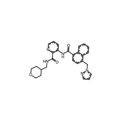 O=C(NCC1CCOCC1)c1ncccc1NC(=O)c1ccc(Cn2cccn2)c2ccccc12